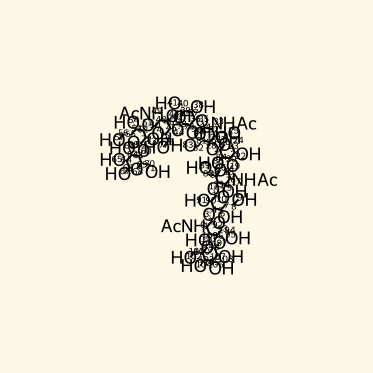 CC(=O)N[C@H]1[C@H](O[C@H]2[C@@H](O)[C@@H](CO)O[C@@H](O[C@H]3[C@H](O)[C@@H](NC(C)=O)[C@H](O[C@H]4[C@@H](O)[C@@H](CO)O[C@@H](O[C@H]5[C@H](O)[C@@H](NC(C)=O)[C@H](O[C@H]6[C@@H](O)[C@@H](CO)O[C@@H](O[C@H]7[C@H](O)[C@@H](NC(C)=O)[C@H](O[C@H]8[C@@H](O)[C@@H](CO)O[C@@H](O[C@H]9[C@H](O)[C@@H](O)[C@H](O)O[C@@H]9CO)[C@@H]8O)O[C@@H]7CO)[C@@H]6O)O[C@@H]5CO)[C@@H]4O)O[C@@H]3CO)[C@@H]2O)O[C@H](CO)[C@@H](O[C@@H]2O[C@H](CO)[C@H](O)[C@H](O)[C@H]2O)[C@@H]1O